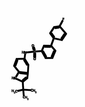 CC(C)(C)c1cc2cc(NS(=O)(=O)c3cccc(-c4ccc(F)cc4)c3)ccc2[nH]1